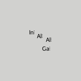 [Al].[Al].[Ga].[In]